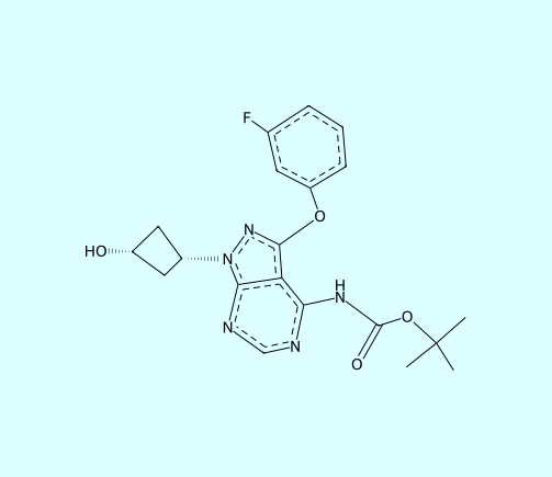 CC(C)(C)OC(=O)Nc1ncnc2c1c(Oc1cccc(F)c1)nn2[C@H]1C[C@@H](O)C1